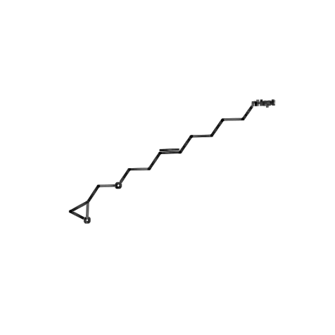 CCCCCCCCCCCC=CCCOCC1CO1